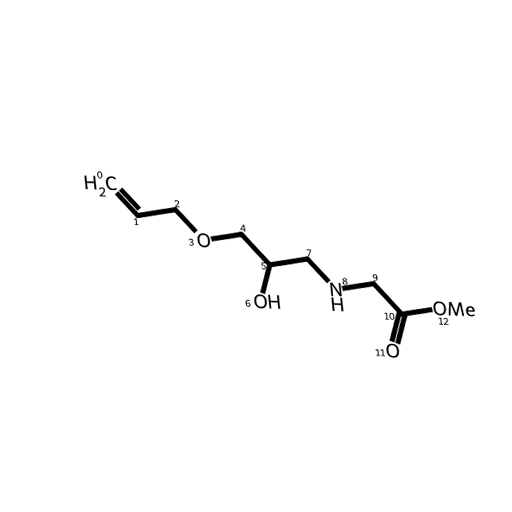 C=CCOCC(O)CNCC(=O)OC